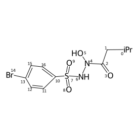 CC(C)CC(=O)N(O)NS(=O)(=O)c1ccc(Br)cc1